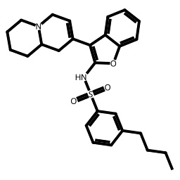 CCCCc1cccc(S(=O)(=O)Nc2oc3ccccc3c2C2=CCN3CCCCC3C2)c1